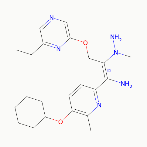 CCc1cncc(OC/C(=C(/N)c2ccc(OC3CCCCC3)c(C)n2)N(C)N)n1